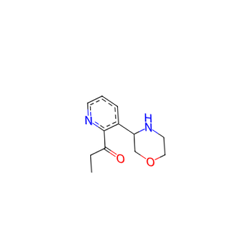 CCC(=O)c1ncccc1C1COCCN1